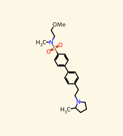 COCCN(C)S(=O)(=O)c1ccc(-c2ccc(CCN3CCCC3C)cc2)cc1